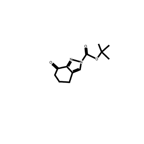 CC(C)(C)OC(=O)n1cc2c(n1)C(=O)CCC2